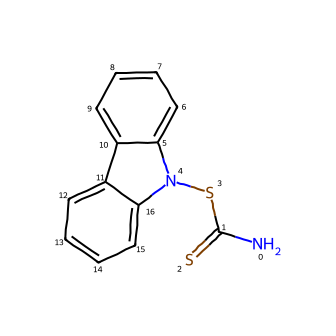 NC(=S)Sn1c2ccccc2c2ccccc21